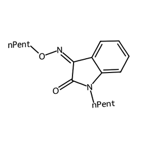 CCCCCON=C1C(=O)N(CCCCC)c2ccccc21